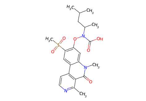 Cc1nccc2c1c(=O)n(C)c1cc(ON(C(=O)O)C(C)CC(C)C)c(S(C)(=O)=O)cc21